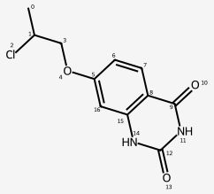 CC(Cl)COc1ccc2c(=O)[nH]c(=O)[nH]c2c1